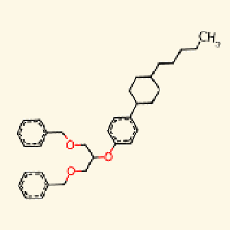 CCCCCC1CCC(c2ccc(OC(COCc3ccccc3)COCc3ccccc3)cc2)CC1